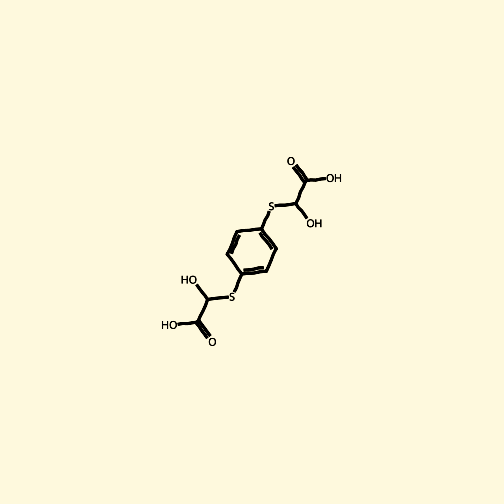 O=C(O)C(O)Sc1ccc(SC(O)C(=O)O)cc1